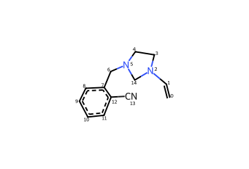 C=CN1CCN(Cc2ccccc2C#N)C1